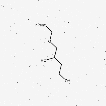 CCCCCCOCC(O)CCO